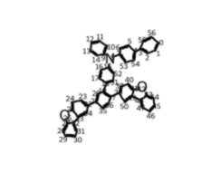 c1ccc(-c2ccc(N(c3ccccc3)c3ccc(-c4cc(-c5ccc6oc7ccccc7c6c5)ccc4-c4ccc5oc6ccccc6c5c4)cc3)cc2)cc1